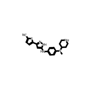 CN(c1ccc(Nc2cc(-c3ccc(C#N)s3)n[nH]2)cc1)C1CCNCC1